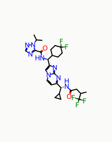 CC(C)n1ncnc1C(=O)N[C@H](c1cn2ccc([C@H](NC(=O)CC(C)C(F)(F)F)C3CC3)nc2n1)C1CCC(F)(F)CC1